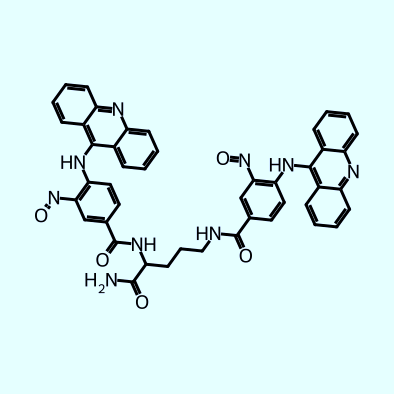 NC(=O)C(CCCNC(=O)c1ccc(Nc2c3ccccc3nc3ccccc23)c(N=O)c1)NC(=O)c1ccc(Nc2c3ccccc3nc3ccccc23)c(N=O)c1